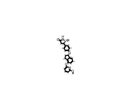 COc1cccc(Oc2cccc3c2CC[C@H]3Oc2ccc(C3CC(=O)N[S+]3[O-])cc2)n1